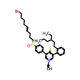 C#Cn1cc(-c2ccc([S+]([O-])CCC/C=C/CCCCBr)cc2)c(=S)c(-c2ccccc2CCC(CC)CCC)c1